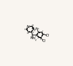 Nc1cc(Cl)c(Cl)cc1C(N)c1ccncc1